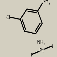 N.Nc1cccc(Cl)c1.[I][Pt][I]